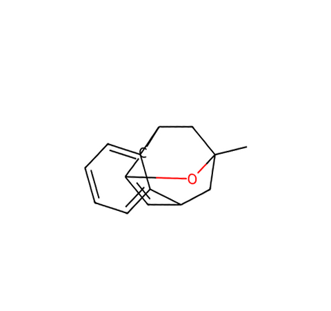 CC12CC3C=C(CC(C1)c1ccccc13)O2